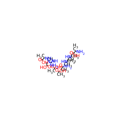 CC(=O)O.CC(=O)O.CC(N)=O.CN(CC(=O)O)C(=N)N.CNC.CNC.C[C@H](N)C(=O)O.C[C@H](N)C(=O)O